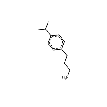 CC(C)c1ccc(CCCN)cc1